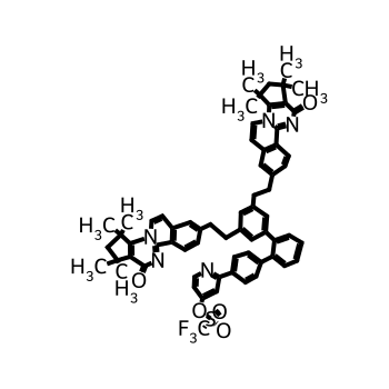 CC1(C)CC(C)(C)c2c1c(=O)nc1c3ccc(CCc4cc(CCc5ccc6c(ccn7c8c(c(=O)nc67)C(C)(C)CC8(C)C)c5)cc(-c5ccccc5-c5ccc(-c6cc(OS(=O)(=O)C(F)(F)F)ccn6)cc5)c4)cc3ccn21